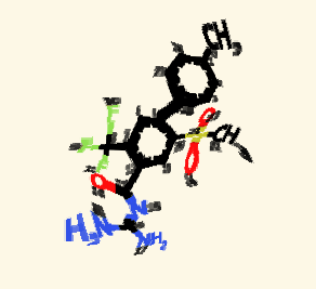 Cc1ccc(-c2cc(C(F)(F)F)c(C(=O)N=C(N)N)cc2S(C)(=O)=O)cc1